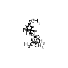 CSN1CC(F)(F)C2(C1)CN(C(=O)OC(C)(C)C)C2